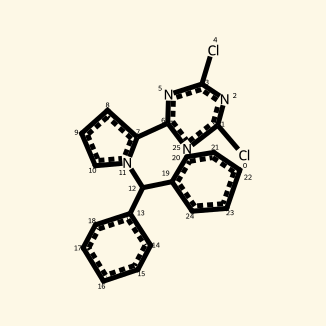 Clc1nc(Cl)nc(-c2cccn2C(c2ccccc2)c2ccccc2)n1